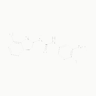 O=C(Nc1ccc(F)c([N+](=O)[O-])c1)Nc1nc2c(Cl)cccc2s1